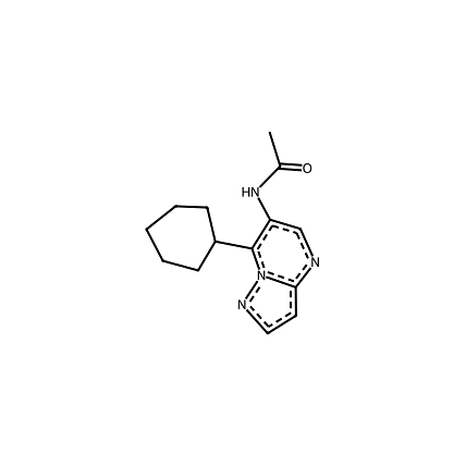 CC(=O)Nc1cnc2ccnn2c1C1CCCCC1